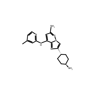 Cc1ccnc(Nc2cc(N)nn3cc([C@H]4CC[C@H](N)CC4)nc23)c1